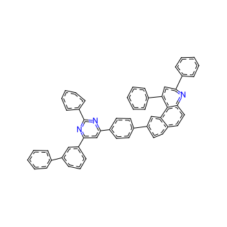 c1ccc(-c2cccc(-c3cc(-c4ccc(-c5ccc6ccc7nc(-c8ccccc8)cc(-c8ccccc8)c7c6c5)cc4)nc(-c4ccccc4)n3)c2)cc1